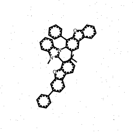 Cc1ccc2c(oc3cc(-c4ccccc4)ccc32)c1-c1n(-c2c(C(C)C)cc3c(oc4ccccc43)c2-c2ccccc2)c2ccccc2[n+]1C